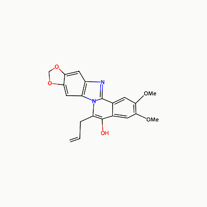 C=CCc1c(O)c2cc(OC)c(OC)cc2c2nc3cc4c(cc3n12)OCO4